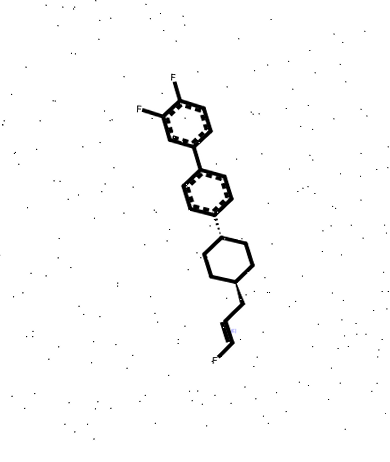 F/C=C/C[C@H]1CC[C@H](c2ccc(-c3ccc(F)c(F)c3)cc2)CC1